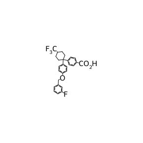 O=C(O)c1ccc(C2(c3ccc(OCc4cccc(F)c4)cc3)CCC(C(F)(F)F)CC2)cc1